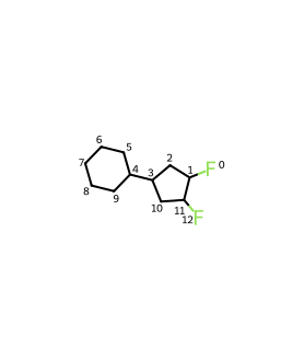 FC1CC(C2CCCCC2)CC1F